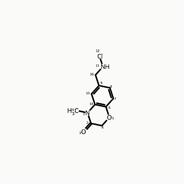 CN1C(=O)COc2ccc(CNCl)cc21